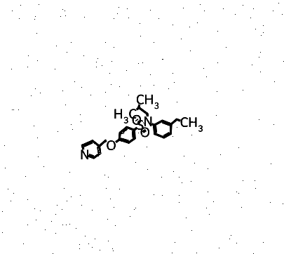 CCc1cccc(N(CC(C)C)S(=O)(=O)c2ccc(OCc3ccncc3)cc2)c1